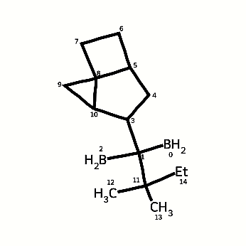 BC(B)(C1CC2CCC23CC13)C(C)(C)CC